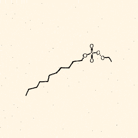 CCCCCCCCCCCOS(=O)(=O)OOCC